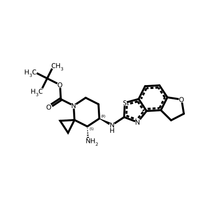 CC(C)(C)OC(=O)N1CC[C@@H](Nc2nc3c4c(ccc3s2)OCC4)[C@H](N)C12CC2